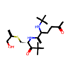 C=C(CO)SC[C@H](NC(=C)C(CCC(C)=O)NC(C)(C)C)C(=O)C(C)(C)C